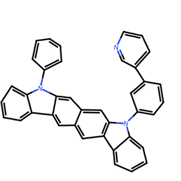 c1ccc(-n2c3ccccc3c3cc4cc5c6ccccc6n(-c6cccc(-c7cccnc7)c6)c5cc4cc32)cc1